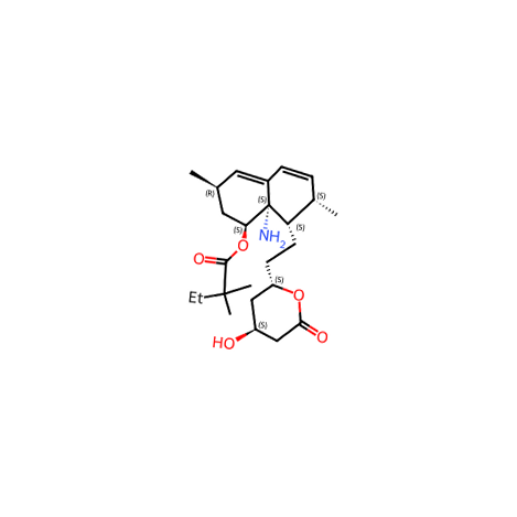 CCC(C)(C)C(=O)O[C@H]1C[C@@H](C)C=C2C=C[C@H](C)[C@H](CC[C@H]3C[C@H](O)CC(=O)O3)[C@]21N